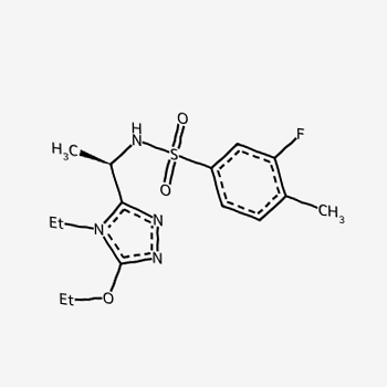 CCOc1nnc([C@@H](C)NS(=O)(=O)c2ccc(C)c(F)c2)n1CC